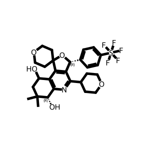 CC1(C)CC(O)c2c(nc(C3CCOCC3)c3c2C2(CCOCC2)O[C@@H]3c2ccc(S(F)(F)(F)(F)F)cc2)[C@@H]1O